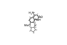 COc1ccc2c(N)cc(=O)[nH]c2c1OC1CCCC1